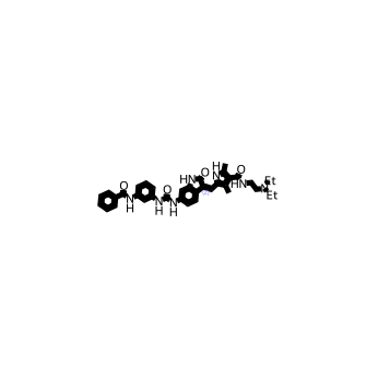 CCN(CC)CCNC(=O)c1c(C)[nH]c(/C=C2\C(=O)Nc3cc(NC(=O)Nc4cccc(NC(=O)c5ccccc5)c4)ccc32)c1C